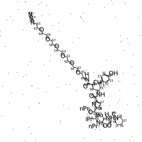 CCCO[C@H](C[C@H](C(C)C)N(CCC)C(=O)[C@@H](NC(=O)[C@H]1CCCCN1C)[C@@H](C)CC)c1nc(C(=O)N[C@@H](CCc2ccc(O)cc2)C[C@H](C)C(=O)NCCOCCOCCOCCOCCOCCOCCN=[N+]=[N-])cs1